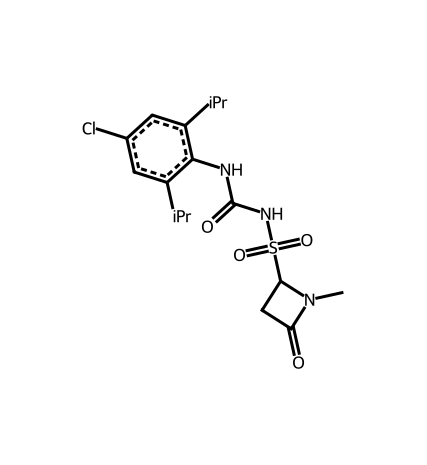 CC(C)c1cc(Cl)cc(C(C)C)c1NC(=O)NS(=O)(=O)C1CC(=O)N1C